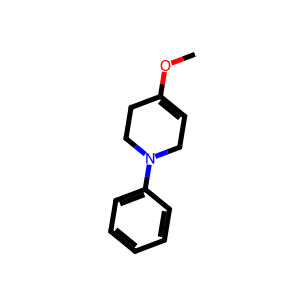 COC1=CCN(c2ccccc2)CC1